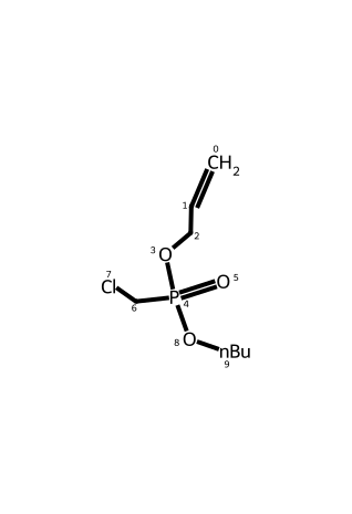 C=CCOP(=O)(CCl)OCCCC